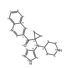 O=C(c1cnc2ccccc2c1)C1(N(c2cn[nH]c2)C2CCNCC2)CC1